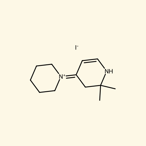 CC1(C)CC(=[N+]2CCCCC2)C=CN1.[I-]